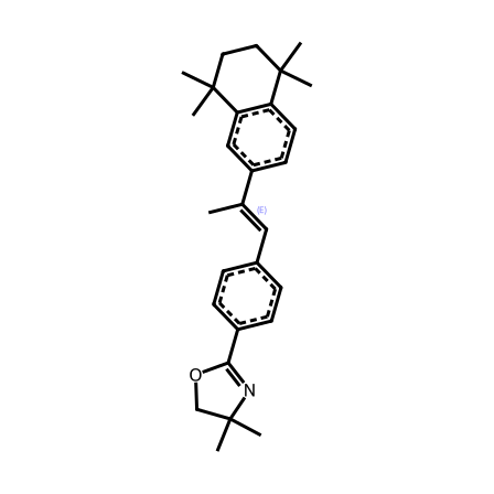 C/C(=C\c1ccc(C2=NC(C)(C)CO2)cc1)c1ccc2c(c1)C(C)(C)CCC2(C)C